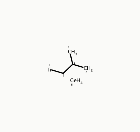 CC(C)[CH2][Ti].[GeH4]